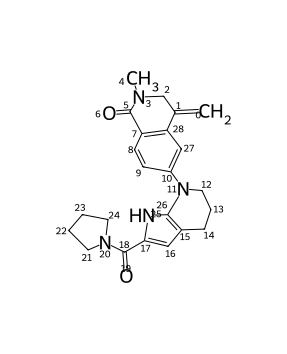 C=C1CN(C)C(=O)c2ccc(N3CCCc4cc(C(=O)N5CCCC5)[nH]c43)cc21